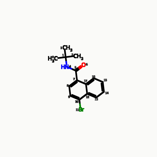 CC(C)(C)NC(=O)c1ccc(Br)c2ccccc12